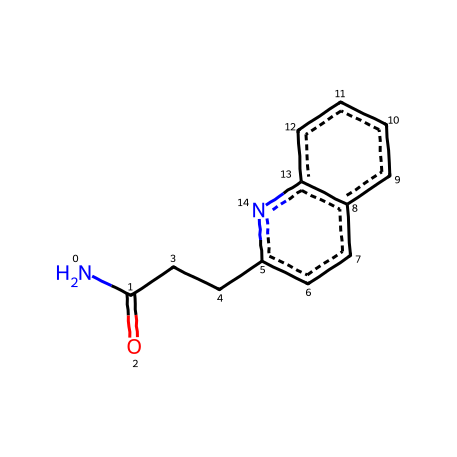 NC(=O)CCc1ccc2ccccc2n1